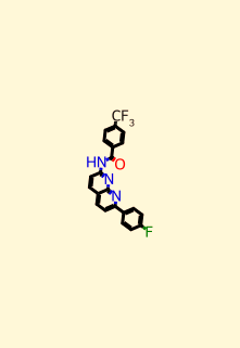 O=C(Nc1ccc2ccc(-c3ccc(F)cc3)nc2n1)c1ccc(C(F)(F)F)cc1